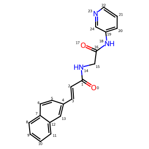 O=C(/C=C/c1ccc2ccccc2c1)NCC(=O)Nc1cccnc1